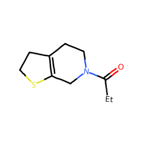 CCC(=O)N1CCC2=C(C1)SCC2